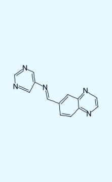 C(=Nc1cncnc1)c1ccc2nccnc2c1